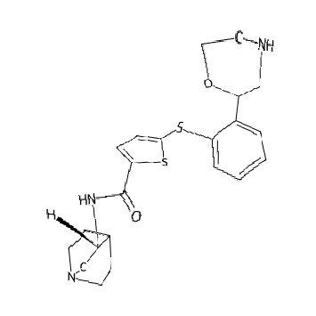 O=C(N[C@H]1CN2CCC1CC2)c1ccc(Sc2ccccc2C2CNCCO2)s1